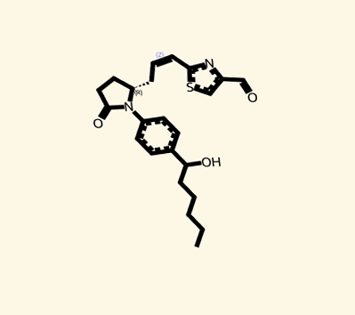 CCCCCC(O)c1ccc(N2C(=O)CC[C@@H]2C/C=C\c2nc(C=O)cs2)cc1